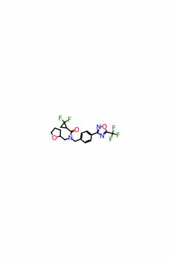 O=C(C1CC1(F)F)N(Cc1ccc(-c2noc(C(F)(F)F)n2)cc1)CC1CCCO1